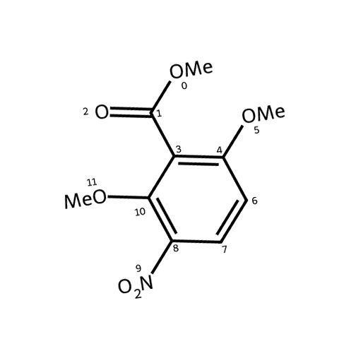 COC(=O)c1c(OC)ccc([N+](=O)[O-])c1OC